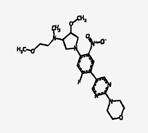 COCCN(C)C1CN(c2cc(F)c(-c3cnc(N4CCOCC4)nc3)cc2[N+](=O)[O-])CC1OC